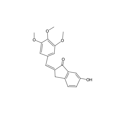 COc1cc(C=C2Cc3ccc(O)cc3C2=O)cc(OC)c1OC